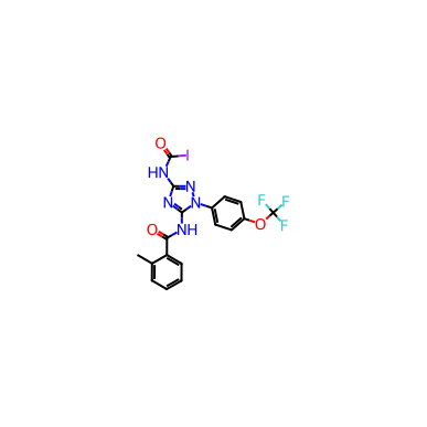 Cc1ccccc1C(=O)Nc1nc(NC(=O)I)nn1-c1ccc(OC(F)(F)F)cc1